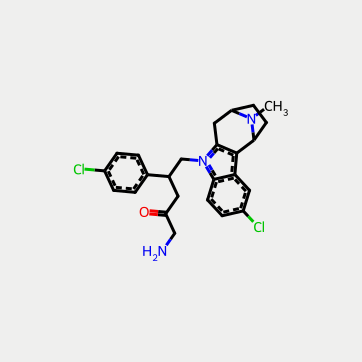 CN1C2CCC1c1c(n(CC(CC(=O)CN)c3ccc(Cl)cc3)c3ccc(Cl)cc13)C2